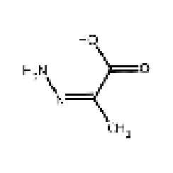 CC(=NN)C(=O)O